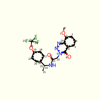 COc1cccc2c(=O)n(CC(=O)N[C@@H](C)c3ccc(OC(F)(F)F)cc3)nnc12